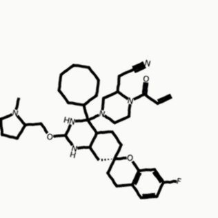 C=CC(=O)N1CCN(C2(C3CCCCCCC3)NC(OCC3CCCN3C)NC3C[C@]4(CCc5ccc(F)cc5O4)CCC32)CC1CC#N